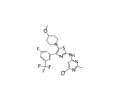 COC1CCN(c2sc(Nc3cc(Cl)nc(C)n3)nc2-c2cc(F)cc(C(F)(F)F)c2)CC1